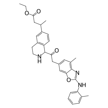 CCOC(=O)CC(C)c1ccc2c(c1)CCNC2C(=O)Cc1cc(C)c2nc(Nc3ccccc3C)oc2c1